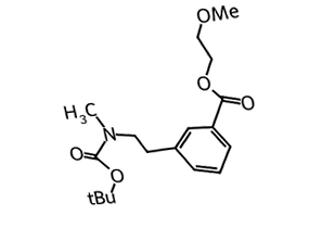 COCCOC(=O)c1cccc(CCN(C)C(=O)OC(C)(C)C)c1